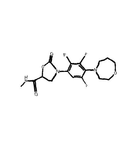 CNC(=O)C1CN(c2cc(F)c(N3CCCOCC3)c(F)c2F)C(=O)O1